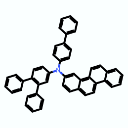 c1ccc(-c2ccc(N(c3ccc(-c4ccccc4)c(-c4ccccc4)c3)c3ccc4ccc5c6ccccc6ccc5c4c3)cc2)cc1